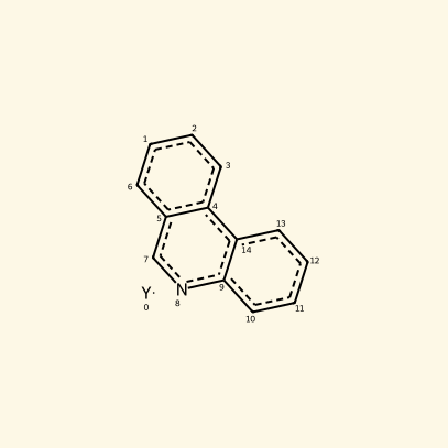 [Y].c1ccc2c(c1)cnc1ccccc12